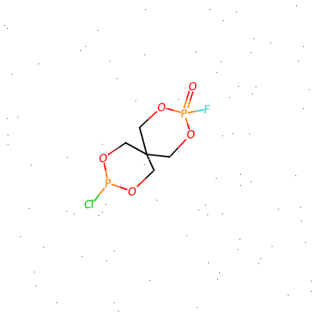 O=P1(F)OCC2(COP(Cl)OC2)CO1